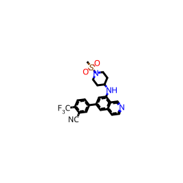 CS(=O)(=O)N1CCC(Nc2cc(-c3ccc(C(F)(F)F)c(C#N)c3)cc3ccncc23)CC1